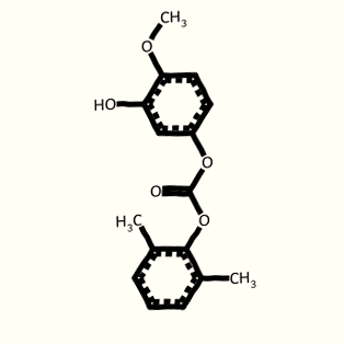 COc1ccc(OC(=O)Oc2c(C)cccc2C)cc1O